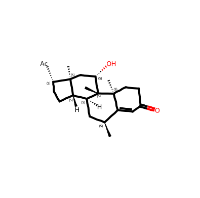 CC(=O)[C@H]1CC[C@H]2[C@@H]3C[C@H](C)C4=CC(=O)CC[C@]4(C)[C@@]3(C)[C@@H](O)C[C@]12C